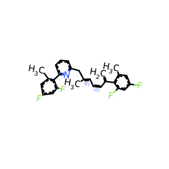 C=C(/C=C\C=C(/C)Cc1cccc(-c2c(C)cc(F)cc2F)n1)c1c(C)cc(F)cc1F